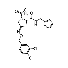 CC(=O)N1C/C(=N/OCc2ccc(Cl)c(Cl)c2)C[C@H]1C(=O)NCc1ccco1